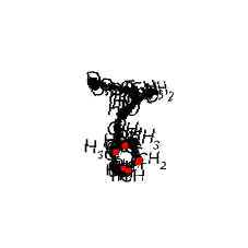 C=C1C[C@@H]2CC[C@]34C[C@@H](O)[C@H](O3)[C@H]3C[C@@H](O4)[C@H]4OC(CC[C@@H]4O3)CC(=O)C[C@H]3[C@H](CC4OC(CCC1O2)C[C@@H](C)C4=C)OC(C[C@H](O)CNC(=O)OCc1ccc(NC(=O)C(CCCNC(N)=O)NC(=O)[C@@H](NC(=O)CCOCCOCCN2C(=O)C=CC2=O)C(C)C)cc1)[C@@H]3OC